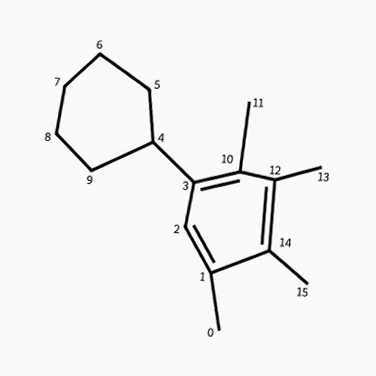 Cc1cc(C2CCCCC2)c(C)c(C)c1C